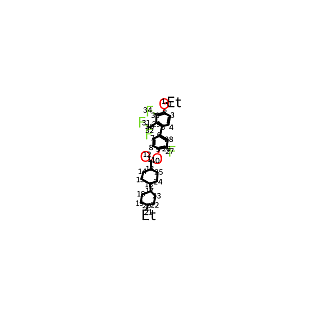 CCOc1ccc(-c2ccc(OC(=O)C3CCC(C4CCC(CC)CC4)CC3)c(F)c2)c(C(F)F)c1F